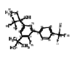 CC(C)(O)c1cc(C(O)(CN)C(F)(F)F)nc(-c2ccc(C(F)(F)F)cc2)c1F